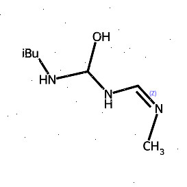 CCC(C)NC(O)N/C=N\C